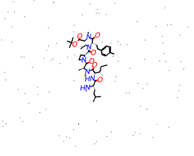 CC[C@H](C)[C@H](NC(=O)[C@H](CCC(C)C)NC)C(=O)N(C)[C@@H](C)C(=O)N1CC[C@H]1C(=O)N(CC)[C@@H](CCc1ccc(C)cc1)C(=O)N(C)CC(=O)OC(C)(C)C